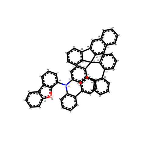 c1ccc(-c2ccccc2N(c2ccc3c(c2)-c2ccccc2-c2ccccc2C32c3ccccc3-c3cc4ccccc4cc32)c2cccc3c2oc2ccccc23)cc1